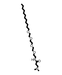 CCCCCCCCCCCCOCCOCCOCCOCCNC(=O)CCN(C)C